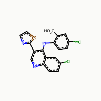 O=C(O)c1cc(Cl)ccc1Nc1c(-c2nccs2)cnc2ccc(Cl)cc12